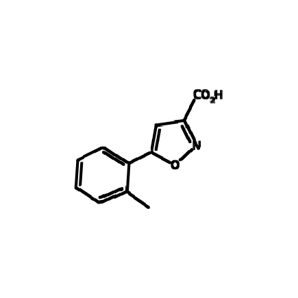 Cc1ccccc1-c1cc(C(=O)O)no1